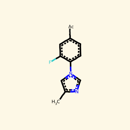 CC(=O)c1ccc(-n2cnc(C)c2)c(F)c1